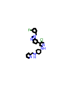 Fc1cccc(Cn2cnc3ccc(-c4cc(NC5CCC(NCc6ccccn6)CC5)ncc4Cl)cc32)c1